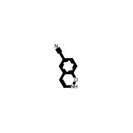 N#Cc1ccc2c(c1)C=CNO2